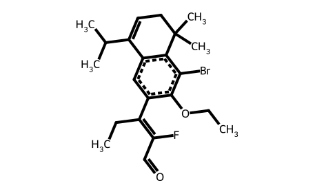 CCOc1c(C(CC)=C(F)C=O)cc2c(c1Br)C(C)(C)CC=C2C(C)C